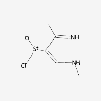 CN/C=C(\C(C)=N)[S+]([O-])Cl